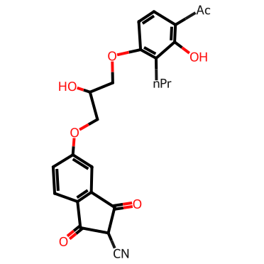 CCCc1c(OCC(O)COc2ccc3c(c2)C(=O)C(C#N)C3=O)ccc(C(C)=O)c1O